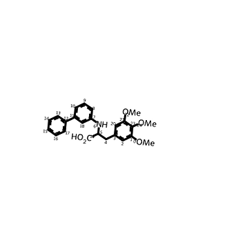 COc1cc(CC(Nc2cccc(-c3ccccc3)c2)C(=O)O)cc(OC)c1OC